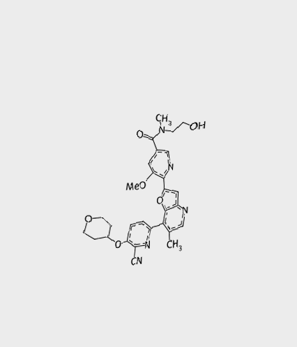 COc1cc(C(=O)N(C)CCO)cnc1-c1cc2ncc(C)c(-c3ccc(OC4CCOCC4)c(C#N)n3)c2o1